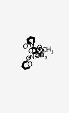 CC(CCn1ccccc1=O)(C(=O)NOC1CCCCO1)S(C)(=O)=O